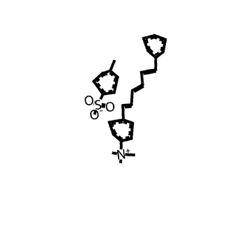 C[N+](C)(C)c1ccc(/C=C/C=C/C=C/c2ccccc2)cc1.Cc1ccc(S(=O)(=O)[O-])cc1